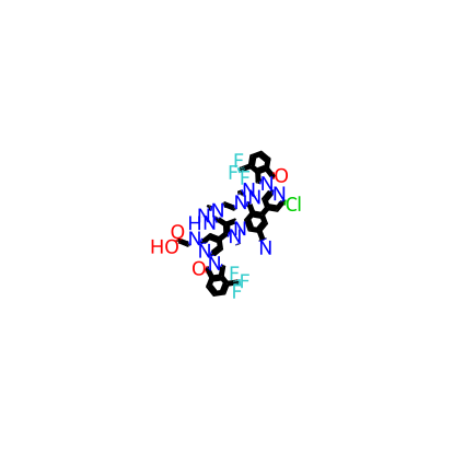 Cn1ncc(-c2nncn2CCn2cnnc2-c2ccc(C#N)cc2-c2cc(Cl)nc(N3Cc4c(cccc4C(F)(F)F)C3=O)c2)c1-c1cc(NCC(=O)O)nc(N2Cc3c(cccc3C(F)(F)F)C2=O)c1